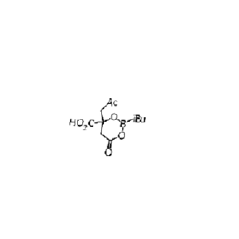 CCC(C)B1OC(=O)CC(CC(C)=O)(C(=O)O)O1